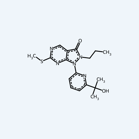 CCCn1c(=O)c2cnc(SC)nc2n1-c1cccc(C(C)(C)O)n1